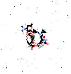 CC[C@H]1OC(=O)[C@@]2(C)CCO[C@@](C)(C[C@@H](C)CN(C3CC3)[C@H](C)[C@H]3NC(=O)O[C@@]31C)[C@H](O[C@@H]1OC(C)CC(N(C)C)C1O)[C@@H](C)C2=O